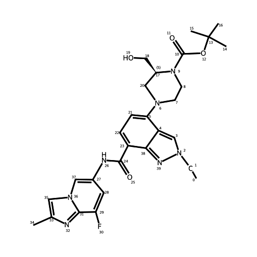 CCn1cc2c(N3CCN(C(=O)OC(C)(C)C)[C@H](CO)C3)ccc(C(=O)Nc3cc(F)c4nc(C)cn4c3)c2n1